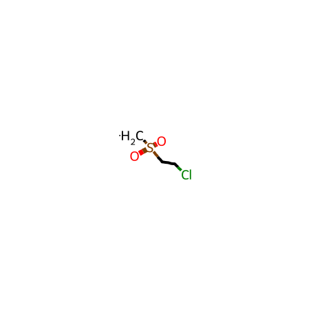 [CH2]S(=O)(=O)CCCl